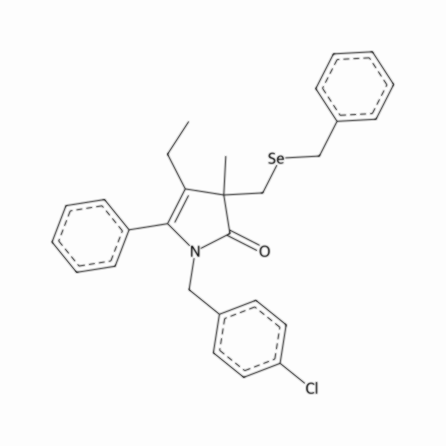 CCC1=C(c2ccccc2)N(Cc2ccc(Cl)cc2)C(=O)C1(C)C[Se]Cc1ccccc1